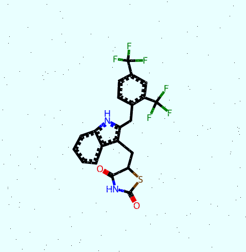 O=C1NC(=O)C(Cc2c(Cc3ccc(C(F)(F)F)cc3C(F)(F)F)[nH]c3ccccc23)S1